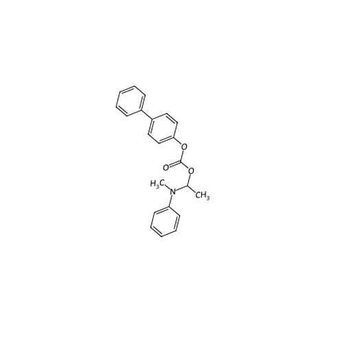 CC(OC(=O)Oc1ccc(-c2ccccc2)cc1)N(C)c1ccccc1